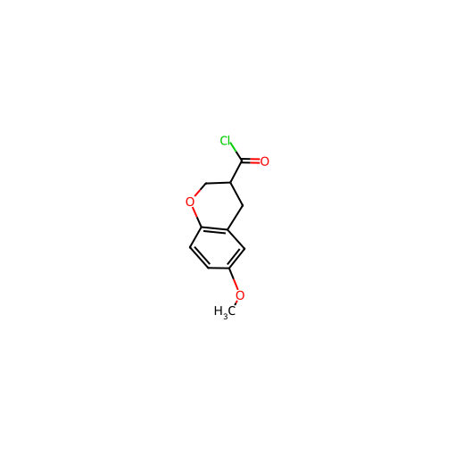 COc1ccc2c(c1)CC(C(=O)Cl)CO2